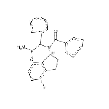 NC(=O)C(c1ccccc1)N(C(=O)c1ccccc1)[C@@H]1CCc2c(F)cccc21